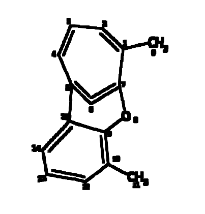 CC1=CC=CC2=C=C1Oc1c(C)cccc12